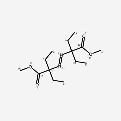 CCC(CC)(N=NC(CC)(CC)C(=O)OC)C(=O)OC